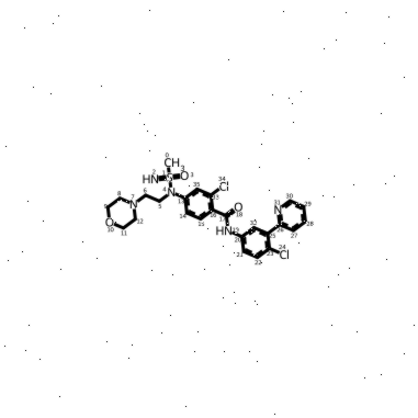 CS(=N)(=O)N(CCN1CCOCC1)c1ccc(C(=O)Nc2ccc(Cl)c(-c3ccccn3)c2)c(Cl)c1